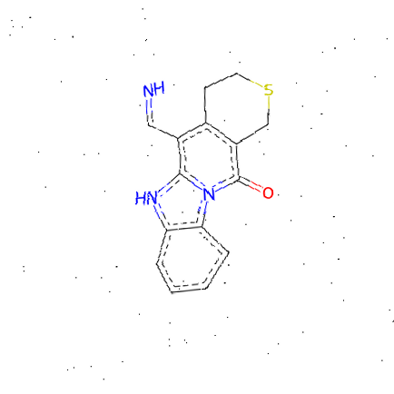 N=Cc1c2c(c(=O)n3c1[nH]c1ccccc13)CSCC2